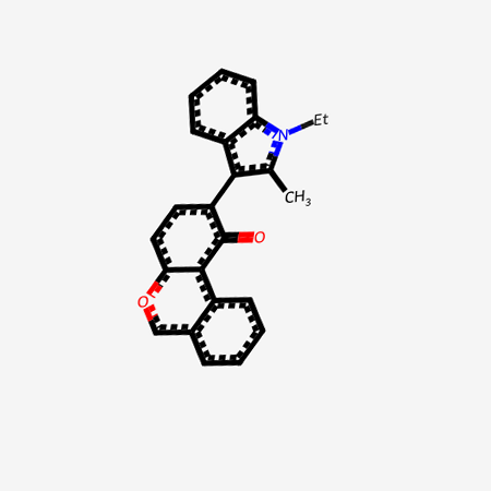 CCn1c(C)c(-c2ccc3occ4ccccc4c-3c2=O)c2ccccc21